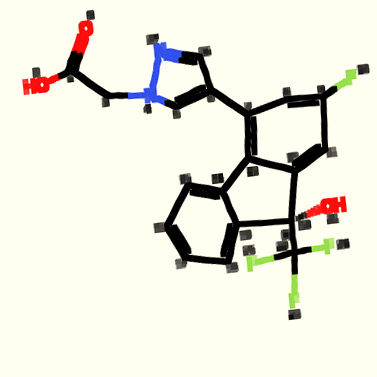 O=C(O)Cn1cc(-c2cc(F)cc3c2-c2ccccc2[C@]3(O)C(F)(F)F)cn1